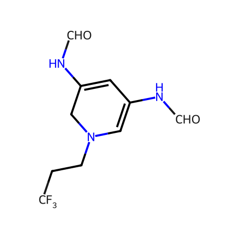 O=CNC1=CN(CCC(F)(F)F)CC(NC=O)=C1